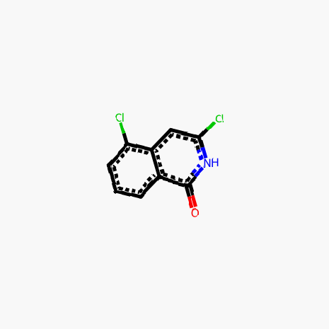 O=c1[nH]c(Cl)cc2c(Cl)cccc12